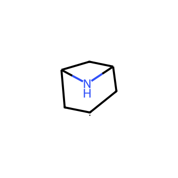 [CH]1CC2CC(C1)N2